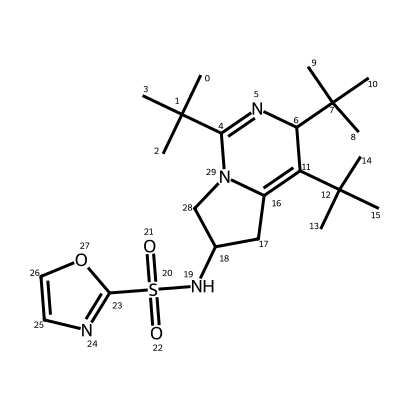 CC(C)(C)C1=NC(C(C)(C)C)C(C(C)(C)C)=C2CC(NS(=O)(=O)c3ncco3)CN12